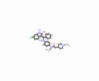 CN1CCC(CC(=O)N(C)c2ccc(NC(=C3C(=O)Nc4cc(Cl)ccc43)c3ccccc3)cc2)CC1